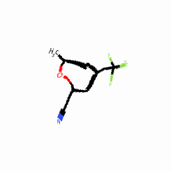 CC1=CC(C(F)(F)F)=CC(C#N)O1